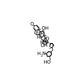 C[C@]12C=CC(=O)C=C1CC[C@H]1[C@@H]3C[C@H]4O[C@@H](c5ccc(Cc6cc(N)cc(CO)c6)s5)O[C@@]4(C(=O)CO)[C@@]3(C)C[C@H](O)[C@@]12F